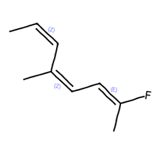 C\C=C/C(C)=C\C=C(/C)F